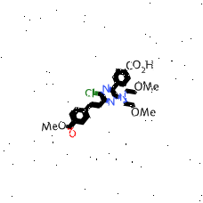 COCCN(CCOC)c1nc(C=Cc2ccc(C(=O)OC)cc2)c(Cl)nc1-c1ccc(C(=O)O)cc1